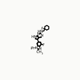 Cc1nc2c(F)cc(-c3c[nH]c4nc(NCC5(F)CCCCC5)ncc34)cc2n1C(C)C